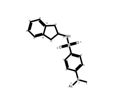 CC(=O)N(C)c1ccc(S(=O)(=O)NC2Cc3ccccc3C2)cc1